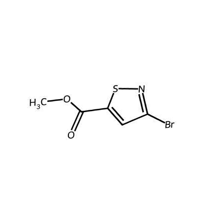 COC(=O)c1cc(Br)ns1